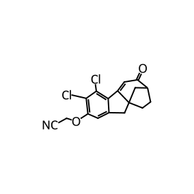 N#CCOc1cc2c(c(Cl)c1Cl)C1=CC(=O)C3CCC1(C2)C3